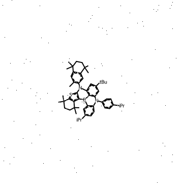 Cc1cc2c(cc1N1c3cc(C(C)(C)C)cc4c3B(c3cc(C(C)C)ccc3N4c3ccc(C(C)C)cc3)c3c1sc1c3C(C)(C)CCC1(C)C)C(C)(C)CCC2(C)C